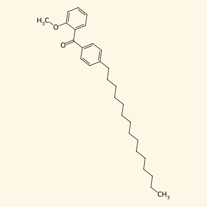 CCCCCCCCCCCCCCCc1ccc(C(=O)c2ccccc2OC)cc1